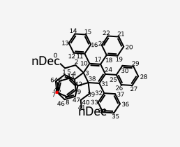 CCCCCCCCCCCCC1(c2ccccc2)C(c2ccccc2)=C(c2ccccc2)C(c2ccccc2)=C(c2ccccc2)C1(CCCCCCCCCCCC)c1ccccc1